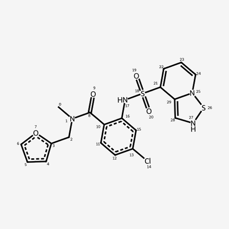 CN(Cc1ccco1)C(=O)c1ccc(Cl)cc1NS(=O)(=O)C1=CC=CN2SNC=C12